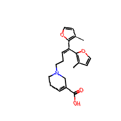 Cc1ccoc1C(=CCCN1CCC=C(C(=O)O)C1)c1occc1C